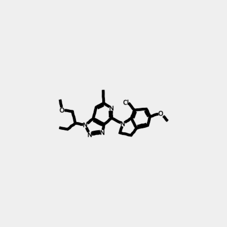 CCC(COC)n1nnc2c(N3CCc4cc(OC)cc(Cl)c43)nc(C)cc21